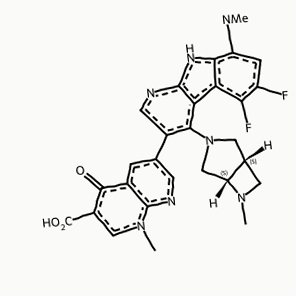 CNc1cc(F)c(F)c2c1[nH]c1ncc(-c3cnc4c(c3)c(=O)c(C(=O)O)cn4C)c(N3C[C@@H]4CN(C)[C@@H]4C3)c12